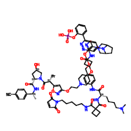 CC(C)[C@@H](C(=O)N1C[C@H](O)C[C@H]1C(=O)N[C@H](C)c1ccc(C#N)cc1)c1cc(OCCN2CCC(OC3CC(Oc4cc(N5C6CCC5CN(c5cc(-c7ccccc7OP(=O)(O)O)nnc5NC(=O)OCc5ccc(NC(=O)[C@H](CCCCN(C)C)NC(=O)C7(C(=O)NCCCCCN8C(=O)C=CC8=O)CCC7)cc5)C6)ccn4)C3)CC2)no1